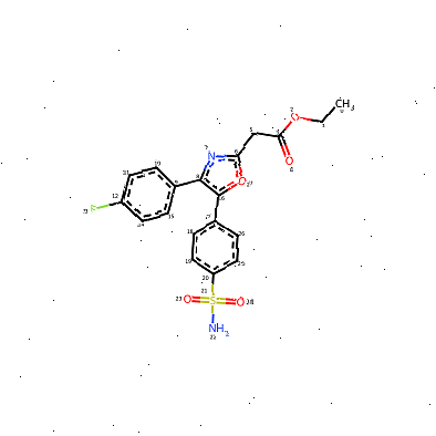 CCOC(=O)Cc1nc(-c2ccc(F)cc2)c(-c2ccc(S(N)(=O)=O)cc2)o1